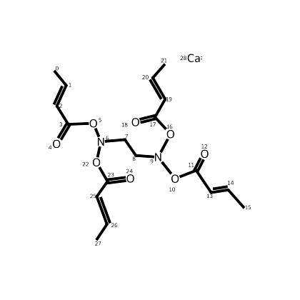 C/C=C/C(=O)ON(CCN(OC(=O)/C=C/C)OC(=O)/C=C/C)OC(=O)/C=C/C.[Ca]